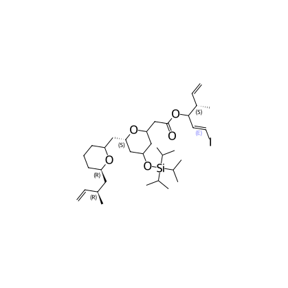 C=C[C@H](C)C[C@H]1CCCC(C[C@H]2CC(O[Si](C(C)C)(C(C)C)C(C)C)CC(CC(=O)OC(/C=C/I)[C@@H](C)C=C)O2)O1